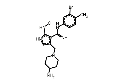 CNc1[nH]cc(CN2CCC(N)CC2)c1C(=N)Nc1ccc(C)c(Br)c1